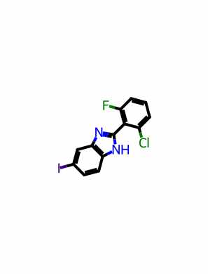 Fc1cccc(Cl)c1-c1nc2cc(I)ccc2[nH]1